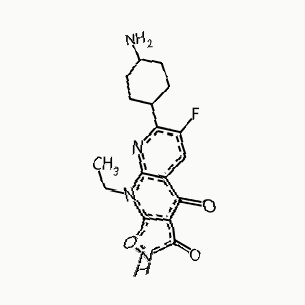 CCn1c2nc(C3CCC(N)CC3)c(F)cc2c(=O)c2c(=O)[nH]oc21